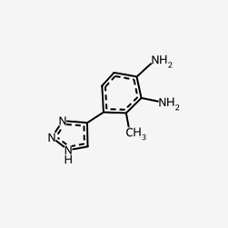 Cc1c(-c2c[nH]nn2)ccc(N)c1N